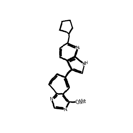 COc1ncnc2ccc(-c3c[nH]c4nc(C5CCCC5)ccc34)cc12